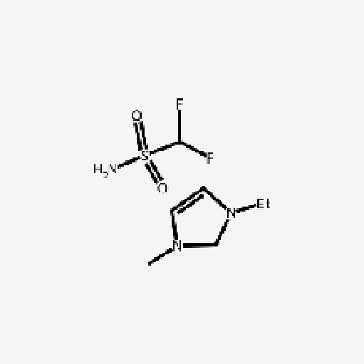 CCN1C=CN(C)C1.NS(=O)(=O)C(F)F